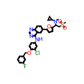 CN(C1CC1)C(CS(C)(=O)=O)c1ccc(-c2ccc3ncnc(Nc4ccc(OCc5cccc(F)c5)c(Cl)c4)c3c2)o1